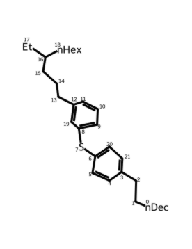 CCCCCCCCCCCCc1ccc(Sc2cccc(CCCC(CC)CCCCCC)c2)cc1